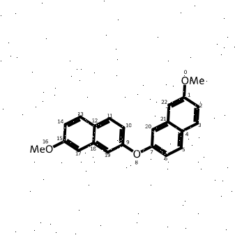 COc1ccc2ccc(Oc3ccc4ccc(OC)cc4c3)cc2c1